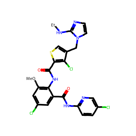 CCNc1nccn1Cc1csc(C(=O)Nc2c(OC)cc(Cl)cc2C(=O)Nc2ccc(Cl)cn2)c1Cl